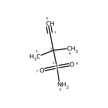 C#CC(C)(C)S(N)(=O)=O